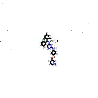 Cc1cc(C)c(C(c2cc(C(F)(F)F)ccc2Cl)N(C(=O)O)c2ccnc(Nc3ccc(OCC4CCCN(C)C4)c(F)c3)n2)c(C)c1